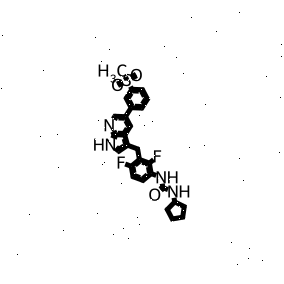 CS(=O)(=O)c1cccc(-c2cnc3[nH]cc(Cc4c(F)ccc(NC(=O)NC5CCCC5)c4F)c3c2)c1